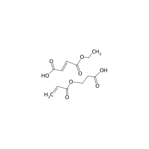 C=CC(=O)OCCC(=O)O.CCOC(=O)C=CC(=O)O